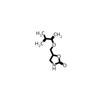 C=C(C)C(=C)OCC1CNC(=O)O1